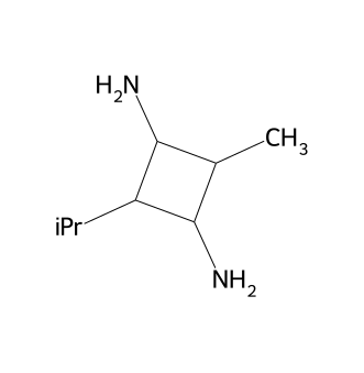 CC(C)C1C(N)C(C)C1N